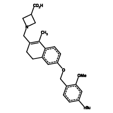 CCCCc1ccc(COc2ccc3c(c2)CCC(CN2CC(C(=O)O)C2)=C3C)c(OC)c1